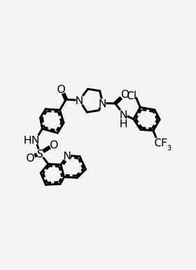 O=C(Nc1cc(C(F)(F)F)ccc1Cl)N1CCN(C(=O)c2ccc(NS(=O)(=O)c3cccc4cccnc34)cc2)CC1